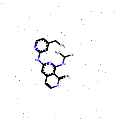 C=C1NC=Cc2cc(Nc3cc(CC)ccn3)nc(NC(C)C)c21